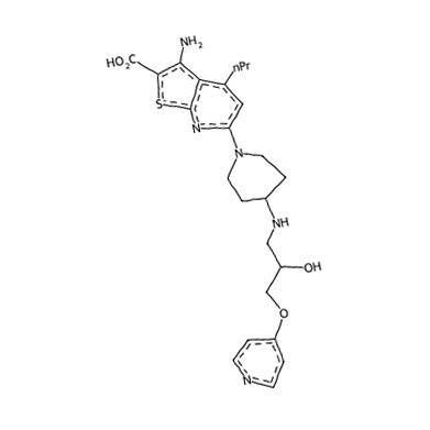 CCCc1cc(N2CCC(NCC(O)COc3ccncc3)CC2)nc2sc(C(=O)O)c(N)c12